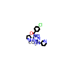 N#CN=C(Nc1cccnc1)NC(NC(=O)c1ccc(Cl)cc1)[C@H]1CCCN1C(=O)O